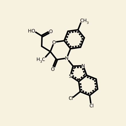 Cc1ccc2c(c1)OC(C)(CC(=O)O)C(=O)N2c1nc2ccc(Cl)c(Cl)c2s1